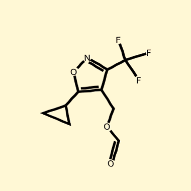 O=COCc1c(C(F)(F)F)noc1C1CC1